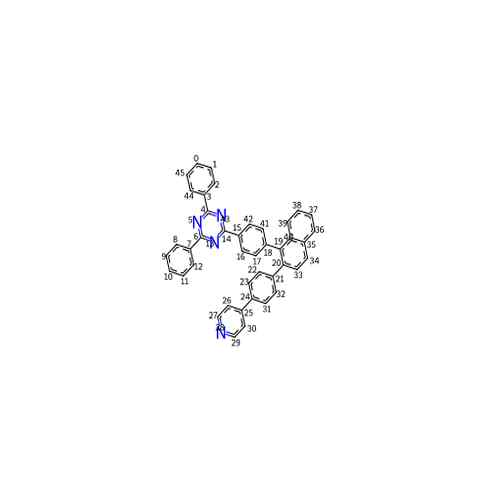 c1ccc(-c2nc(-c3ccccc3)nc(-c3ccc(-c4c(-c5ccc(-c6ccncc6)cc5)ccc5ccccc45)cc3)n2)cc1